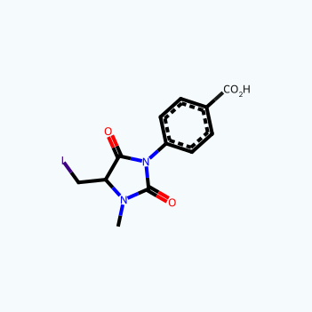 CN1C(=O)N(c2ccc(C(=O)O)cc2)C(=O)C1CI